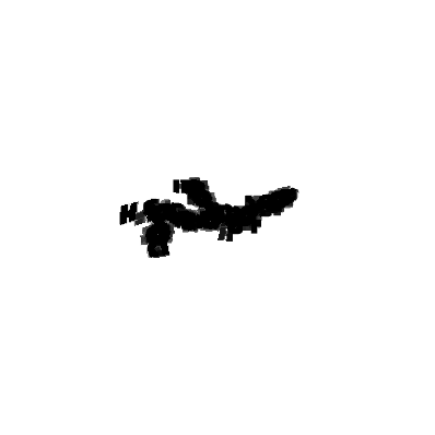 C[C@H]1CCC(CN2CCN(c3ccc(C(=O)NS(=O)(=O)c4cc(F)c(NCC5CCOCC5)c([N+](=O)[O-])c4)c(Oc4cnc5[nH]ccc5c4)c3)C[C@H]2C)=C(c2ccc(Cl)cc2)C1